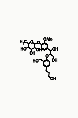 COc1cc(C(O)C(CO)Oc2ccc(CCCO)cc2CO)ccc1OC1OC(C)C(O)C(O)C1O